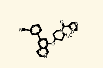 Cn1cncc1C(=O)N1CCC(Oc2cc(-c3cccc(C#N)c3)cc3ccncc23)CC1